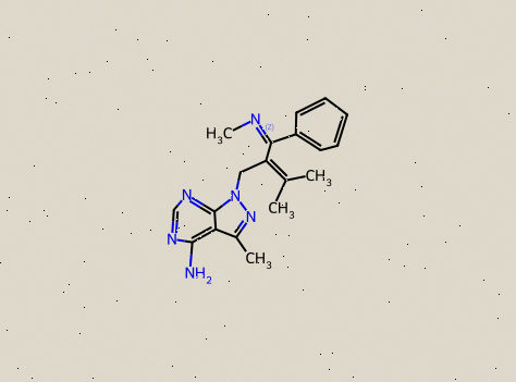 C/N=C(\C(Cn1nc(C)c2c(N)ncnc21)=C(C)C)c1ccccc1